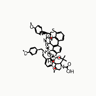 COc1ccc(CN(Cc2ccc(OC)cc2)S(=O)(=O)c2c(S(=O)(=O)NC3CCN(C(=O)O)C3C(C)(C)C)ccc(-c3cccc4sc(C#N)nc34)c2-c2nnn(Cc3ccc(OC)cc3)n2)cc1